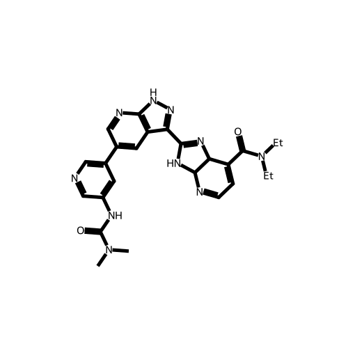 CCN(CC)C(=O)C1=CC=NC2NC(c3n[nH]c4ncc(-c5cncc(NC(=O)N(C)C)c5)cc34)=NC12